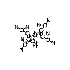 N#Cc1cc(-c2cc(-n3c4ccc(-c5ccc(C#N)cc5C#N)cc4c4cc(-c5ccc(C#N)cc5C#N)ccc43)ncc2-n2c3ccc(-c4ccc(C#N)cc4C#N)cc3c3cc(-c4ccc(C#N)cc4C#N)ccc32)cc(C(F)(F)F)c1